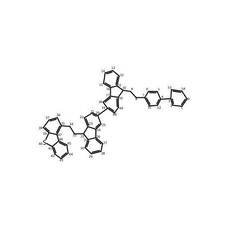 c1ccc(-c2ccc(CCC3c4ccccc4-c4cc(-c5ccc6c(c5)-c5ccccc5C6CCc5cccc6sc7ccccc7c56)ccc43)cc2)cc1